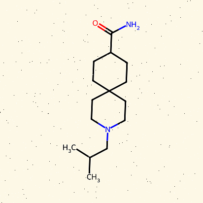 CC(C)CN1CCC2(CCC(C(N)=O)CC2)CC1